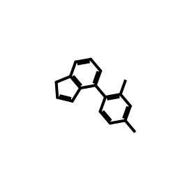 Cc1ccc(-c2cccc3c2C=CC3)c(C)c1